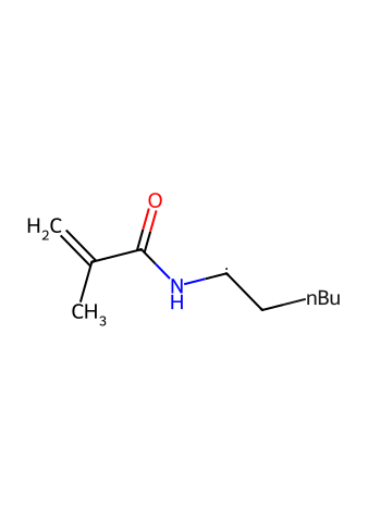 C=C(C)C(=O)N[CH]CCCCC